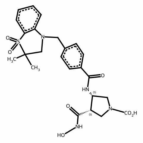 CC1(C)CN(Cc2ccc(C(=O)N[C@@H]3CN(C(=O)O)C[C@@H]3C(=O)NO)cc2)c2ccccc2S1(=O)=O